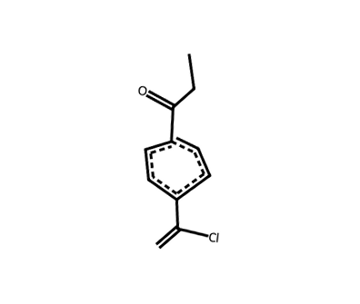 C=C(Cl)c1ccc(C(=O)CC)cc1